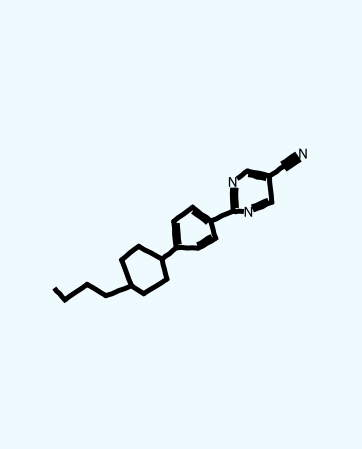 CCCCC1CCC(c2ccc(-c3ncc(C#N)cn3)cc2)CC1